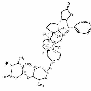 CC1O[C@H](OC2C(C)O[C@@H](O[C@H]3CC[C@@]4(C)[C@H](CC[C@@H]5[C@@H]4C[C@@H](O)[C@]4(C)[C@@H](C6CC(=O)OC6Cc6ccccc6)CC[C@]54O)C3)C[C@H]2O)C[C@@H](O)C1O